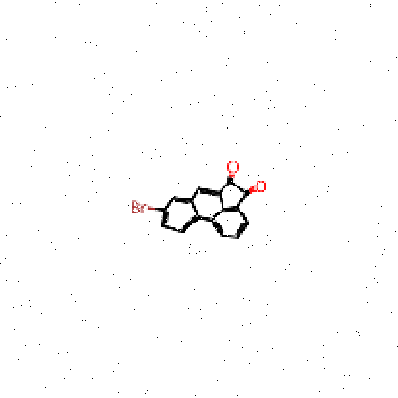 O=C1C(=O)c2cc3cc(Br)ccc3c3cccc1c23